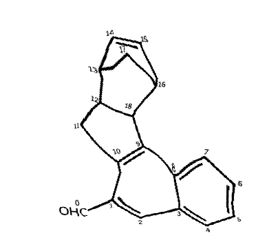 O=Cc1cc2ccccc2c2c1CC1C3C=CC(C3)C21